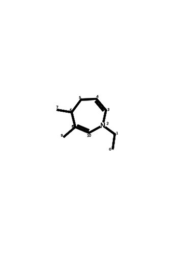 CCN1C=CCC(C)C(C)=C1